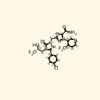 NC(=O)c1nc(Cn2nc(-c3ccc(Cl)cc3)n(C[C@@H](O)C(F)(F)F)c2=O)nn1-c1cnccc1C(F)(F)F